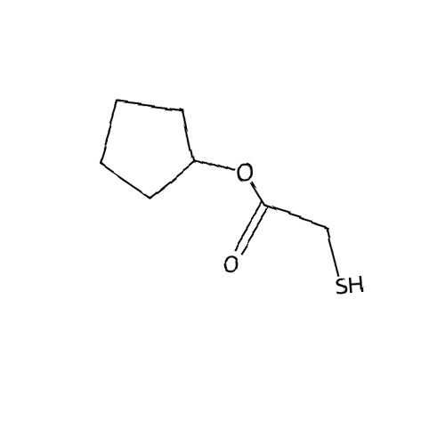 O=C(CS)OC1CCCC1